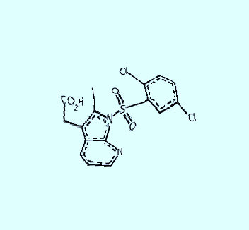 Cc1c(CC(=O)O)c2cccnc2n1S(=O)(=O)c1cc(Cl)ccc1Cl